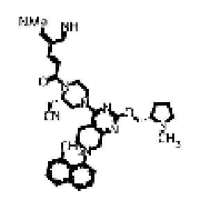 CN/C=C(C=N)/C=C/C(=O)N1CCN(c2nc(OC[C@@H]3CCCN3C)nc3c2CCN(c2cccc4cccc(C)c24)C3)C[C@@H]1CC#N